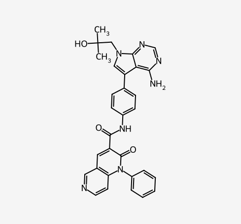 CC(C)(O)Cn1cc(-c2ccc(NC(=O)c3cc4cnccc4n(-c4ccccc4)c3=O)cc2)c2c(N)ncnc21